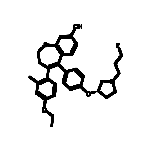 CCOc1ccc(C2=C(c3ccc(O[C@H]4CCN(CCCF)C4)cc3)c3ccc(O)cc3SCC2)c(C)c1